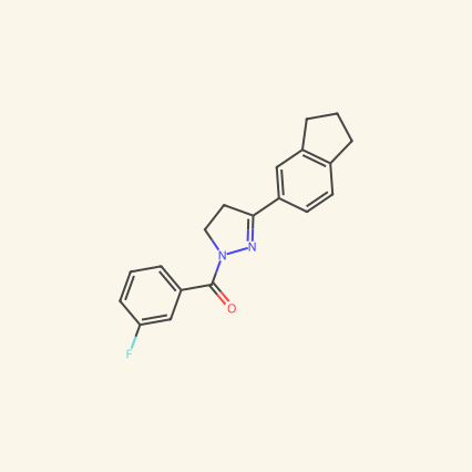 O=C(c1cccc(F)c1)N1CCC(c2ccc3c(c2)CCC3)=N1